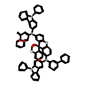 C=C(/C=C(\C=C/C)N(c1ccc2c(c1)C1(c3ccccc3Oc3ccccc31)c1cc(N(c3cccc(-c4ccccc4)c3)c3ccc4c(c3)c3ccccc3n4-c3ccccc3)ccc1O2)c1ccc2c(c1)c1ccccc1n2-c1ccccc1)c1ccccc1